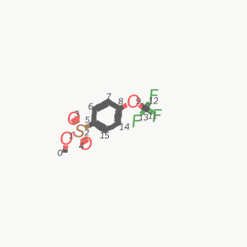 COS(=O)(=O)c1ccc(OC(F)(F)F)cc1